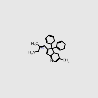 CC1=CN=C2C=C(/C=C(/C)CN)C(C3=CCCC=C3)(C3C=CC=CC3)C2C1